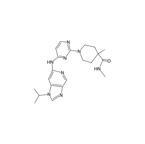 CNC(=O)C1(C)CCN(c2nccc(Nc3cc4c(cn3)ncn4C(C)C)n2)CC1